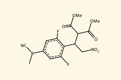 COC(=O)C(C(=O)OC)C(C[N+](=O)[O-])c1c(F)cc(B(C)C#N)cc1F